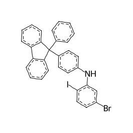 Brc1ccc(I)c(Nc2ccc(C3(c4ccccc4)c4ccccc4-c4ccccc43)cc2)c1